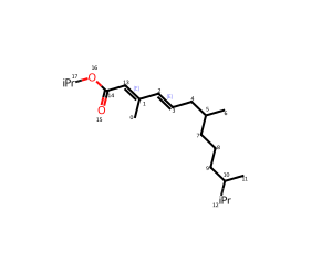 CC(/C=C/CC(C)CCCC(C)C(C)C)=C\C(=O)OC(C)C